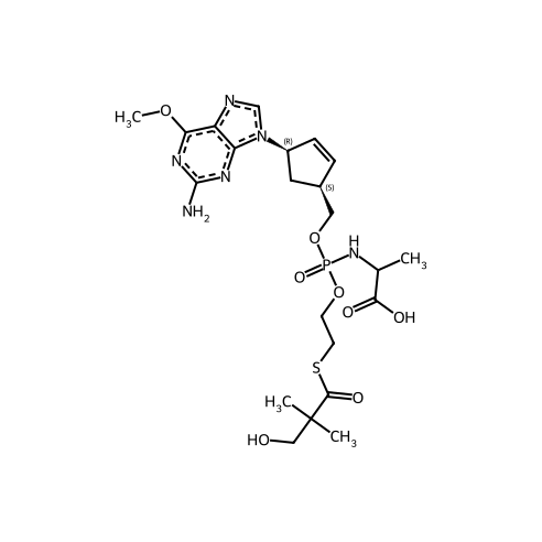 COc1nc(N)nc2c1ncn2[C@H]1C=C[C@@H](COP(=O)(NC(C)C(=O)O)OCCSC(=O)C(C)(C)CO)C1